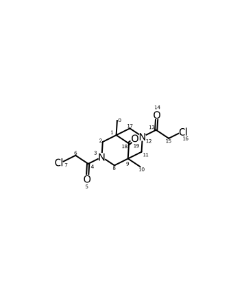 CC12CN(C(=O)CCl)CC(C)(CN(C(=O)CCl)C1)C2=O